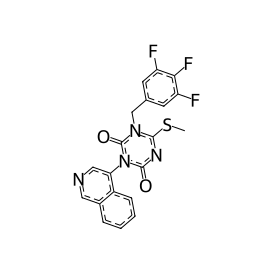 CSc1nc(=O)n(-c2cncc3ccccc23)c(=O)n1Cc1cc(F)c(F)c(F)c1